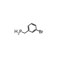 PCc1cccc(Br)c1